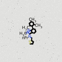 CCCN(Cc1cccs1)c1c2cccc(-c3c(C)cc(C)cc3C)c2nn1C